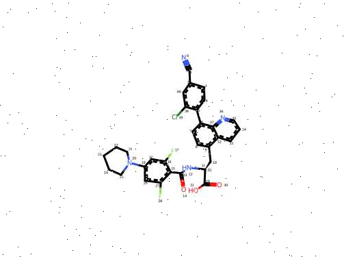 N#Cc1ccc(-c2ccc(C[C@H](NC(=O)c3c(F)cc(N4CCCCC4)cc3F)C(=O)O)c3cccnc23)c(Cl)c1